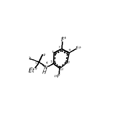 CCC(C)(C)Nc1cc(F)c(F)cc1F